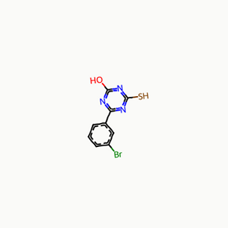 Oc1nc(S)nc(-c2cccc(Br)c2)n1